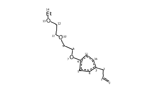 C=CCc1ccc(OCCOCCOCC)cc1